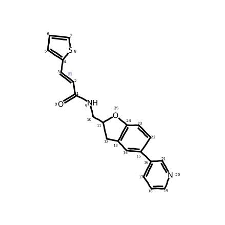 O=C(/C=C/c1cccs1)NCC1Cc2cc(-c3cccnc3)ccc2O1